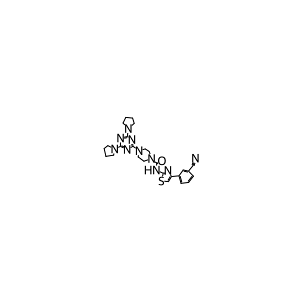 N#Cc1cccc(-c2csc(NC(=O)N3CCN(c4nc(N5CCCC5)nc(N5CCCC5)n4)CC3)n2)c1